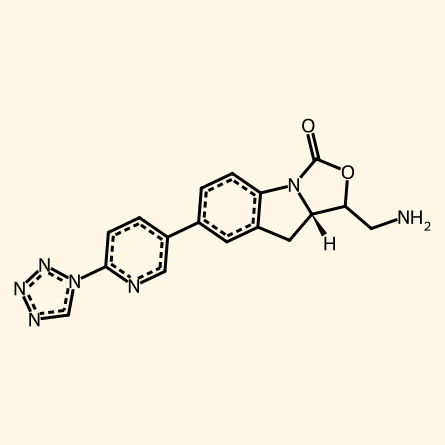 NCC1OC(=O)N2c3ccc(-c4ccc(-n5cnnn5)nc4)cc3C[C@@H]12